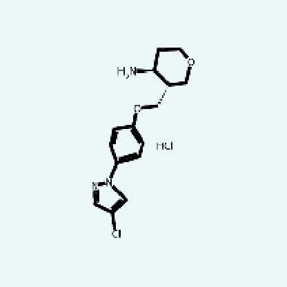 Cl.N[C@H]1CCOC[C@@H]1COc1ccc(-n2cc(Cl)cn2)cc1